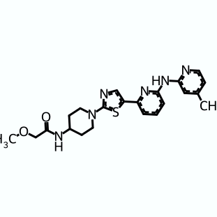 COCC(=O)NC1CCN(c2ncc(-c3cccc(Nc4cc(C)ccn4)n3)s2)CC1